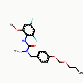 CCCCCCCN(Cc1ccc(OCOCCOC)cc1)C(=O)Nc1c(F)cc(F)cc1OCC